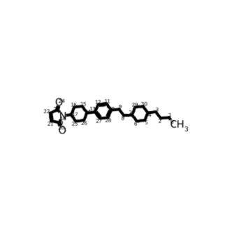 CCCCC1CCC(CCc2ccc(C3CCC(N4C(=O)C=CC4=O)CC3)cc2)CC1